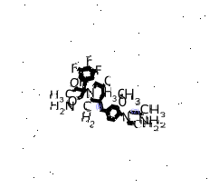 C=CN(/C=C(/C)N)c1ccc(/C=C2\CC(C)CN(C(CON)(c3cc(F)c(F)c(F)c3)C(C)O)C2=C)cc1OC